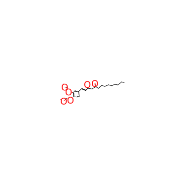 CCCCCCCCCC(=O)CC(=O)C=Cc1ccc(OCOC)c(OCOC)c1